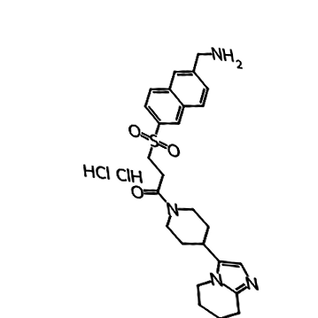 Cl.Cl.NCc1ccc2cc(S(=O)(=O)CCC(=O)N3CCC(c4cnc5n4CCCC5)CC3)ccc2c1